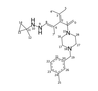 C=C(C(=C(C)C)/C(C)=C/NNC1(C)CC1)N1CCN(Cc2cccc(C)c2)CC1